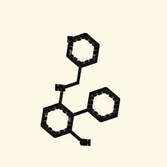 Oc1cccc(NCc2cccnc2)c1-c1ccccc1